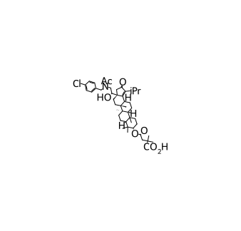 CC(=O)N(Cc1ccc(Cl)cc1)C[C@H](O)[C@@]12CC[C@]3(C)[C@H](CC[C@@H]4C5(C)CC[C@H](OC(=O)CC(C)(C)C(=O)O)C(C)(C)[C@@H]5CC[C@]43C)C1=C(C(C)C)C(=O)C2